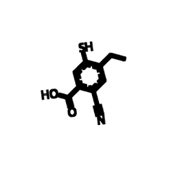 CCc1cc(C#N)c(C(=O)O)cc1S